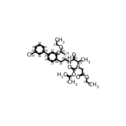 C=C(C)OC(=O)N(CC(=O)OCC)C(C)C(=O)N[C@@H](CC(=O)OCC)Cc1ccc(-c2cccc(Cl)c2)cc1